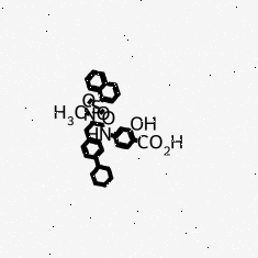 CN(C(Cc1ccc(C2CCCCC2)cc1)C(=O)Nc1ccc(C(=O)O)c(O)c1)S(=O)(=O)c1cccc2ccccc12